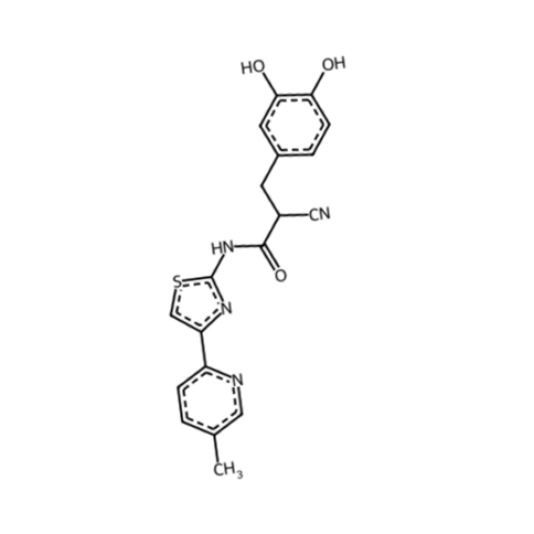 Cc1ccc(-c2csc(NC(=O)C(C#N)Cc3ccc(O)c(O)c3)n2)nc1